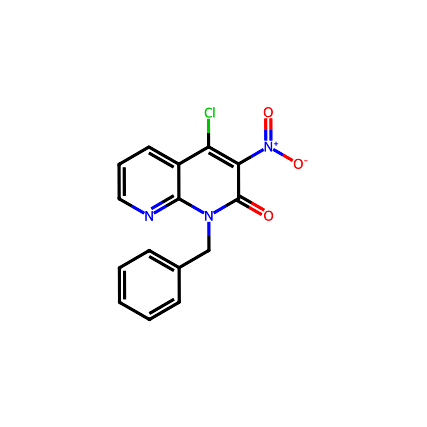 O=c1c([N+](=O)[O-])c(Cl)c2cccnc2n1Cc1ccccc1